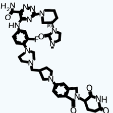 CN1CCN([C@@H]2CCCN(c3nnc(C(N)=O)c(Nc4ccc(N5CCN(CC6CCN(c7ccc8c(c7)CN(C7CCC(=O)NC7=O)C8=O)C6)CC5)c(F)c4)n3)C2)C1=O